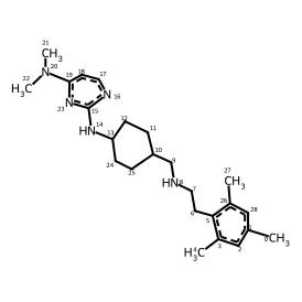 Cc1cc(C)c(CCNCC2CCC(Nc3nccc(N(C)C)n3)CC2)c(C)c1